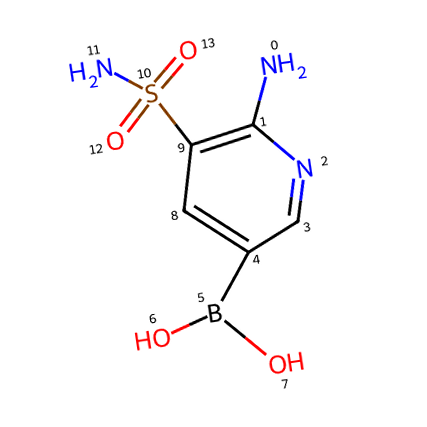 Nc1ncc(B(O)O)cc1S(N)(=O)=O